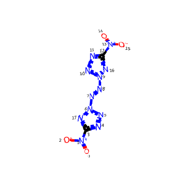 O=[N+]([O-])c1nnn(N=Nn2nnc([N+](=O)[O-])n2)n1